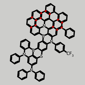 FC(F)(F)c1ccc(N2c3cc4c(cc3B3c5ccccc5N(c5c(-c6ccccc6)cccc5-c5ccccc5)c5cc(N(c6ccccc6)c6cccc(-c7cccc(-c8ccccc8)c7)c6)cc2c53)B2c3ccccc3N(c3ccccc3)c3cc(N(c5ccccc5)c5ccccc5)cc(c32)S4)cc1